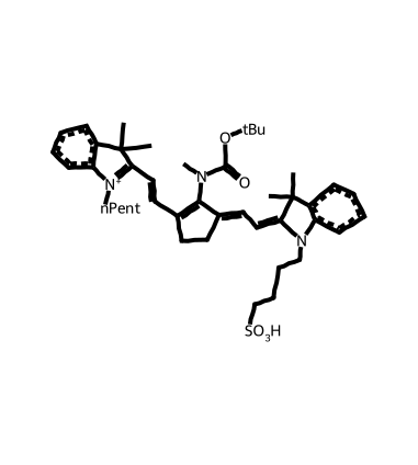 CCCCC[N+]1=C(/C=C/C2=C(N(C)C(=O)OC(C)(C)C)C(=C/C=C3/N(CCCCS(=O)(=O)O)c4ccccc4C3(C)C)/CC2)C(C)(C)c2ccccc21